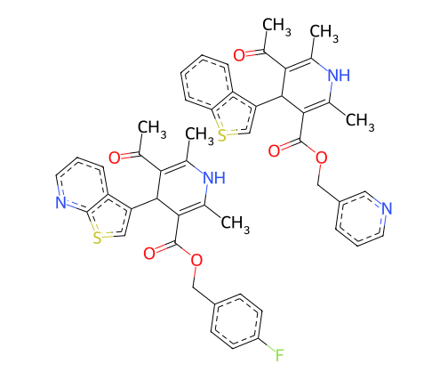 CC(=O)C1=C(C)NC(C)=C(C(=O)OCc2ccc(F)cc2)C1c1csc2ncccc12.CC(=O)C1=C(C)NC(C)=C(C(=O)OCc2cccnc2)C1c1csc2ccccc12